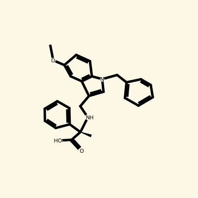 COc1ccc2c(c1)c(CN[C@](C)(C(=O)O)c1ccccc1)cn2Cc1ccccc1